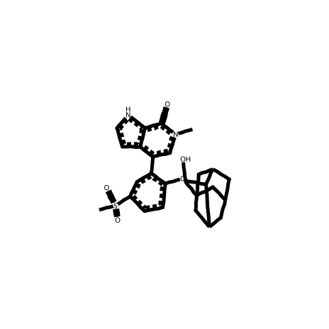 Cn1cc(-c2cc(S(C)(=O)=O)ccc2OC23CC4CC(C2)C(CO)C(C4)C3)c2cc[nH]c2c1=O